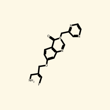 NCC(=CF)COc1ccc2c(=O)n(Cc3cnccn3)cnc2c1